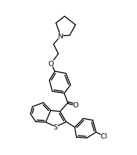 O=C(c1ccc(OCCN2CCCC2)cc1)c1c(-c2ccc(Cl)cc2)sc2ccccc12